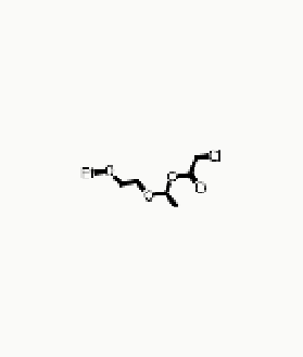 [CH2]COCCOC(C)OC(=O)CCl